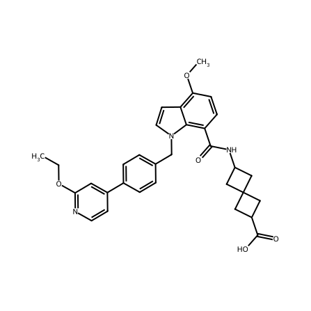 CCOc1cc(-c2ccc(Cn3ccc4c(OC)ccc(C(=O)NC5CC6(C5)CC(C(=O)O)C6)c43)cc2)ccn1